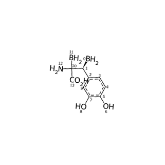 B[C@@H](c1ccc(O)c(O)c1)C(B)(N)C(=O)O